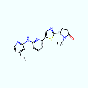 Cc1ccnc(Nc2cccc(-c3cnc([C@@H]4CCC(=O)N4C)s3)n2)c1